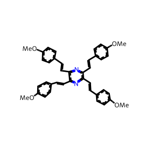 COc1ccc(C=Cc2nc(C=Cc3ccc(OC)cc3)c(C=Cc3ccc(OC)cc3)nc2C=Cc2ccc(OC)cc2)cc1